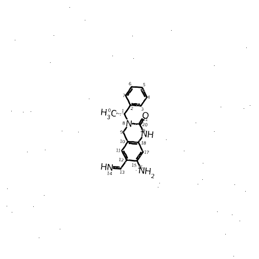 C[C@H](c1ccccc1)N1Cc2cc(C=N)c(N)cc2NC1=O